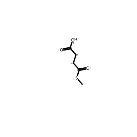 CSC(=O)CCC(=O)O